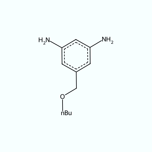 CCCCOCc1cc(N)cc(N)c1